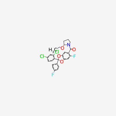 CCOC1CCCN1C(=O)c1cc2c(cc1F)OC(c1ccc(F)cc1)(c1ccc(Cl)cc1Cl)O2